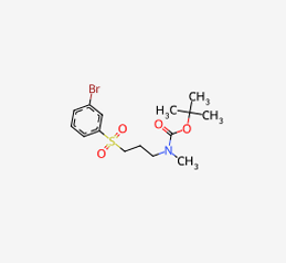 CN(CCCS(=O)(=O)c1cccc(Br)c1)C(=O)OC(C)(C)C